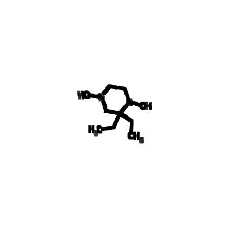 CCC1(CC)CN(O)CCN1O